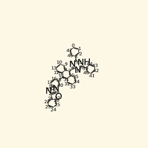 c1ccc(C2=NC(c3c4ccccc4c(-c4ccc5nc6c7ccccc7oc6n5c4)c4ccccc34)=NC(c3ccccc3)N2)cc1